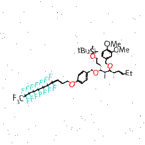 CCC=C[C@H](C)[C@H](OCc1ccc(OC)c(OC)c1)[C@@H](C)[C@@H](CCCO[Si](C)(C)C(C)(C)C)OCc1ccc(OCCCC(F)(F)C(F)(F)C(F)(F)C(F)(F)C(F)(F)C(F)(F)C(F)(F)C(F)(F)F)cc1